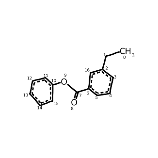 CCc1cccc(C(=O)Oc2ccccc2)c1